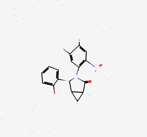 O=C1[C@H]2C[C@H]2[C@@H](c2ccccc2O)N1c1cc(Br)c(F)cc1[N+](=O)[O-]